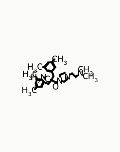 Cc1cc(C)cc(CC(CN)(Cc2cc(C)cc(C)c2)C(=O)N2CCN(CCN(C)C)CC2)c1